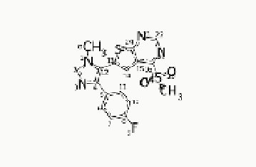 Cn1cnc(-c2ccc(F)cc2)c1-c1cc2c(S(C)(=O)=O)ncnc2s1